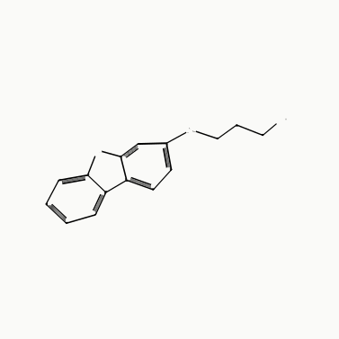 OCCCNc1ccc2c(c1)sc1ccccc12